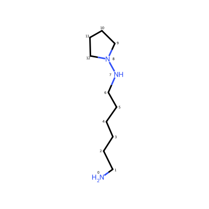 NCCCCCCNN1CCCC1